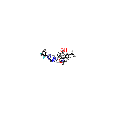 O=C(O)C(CCCCO)(c1cc(-c2ccc(C3CC3)cc2C(F)(F)F)no1)n1cc2nc(-c3cccc(F)c3F)nc-2cn1